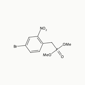 COP(=O)(Cc1ccc(Br)cc1[N+](=O)[O-])OC